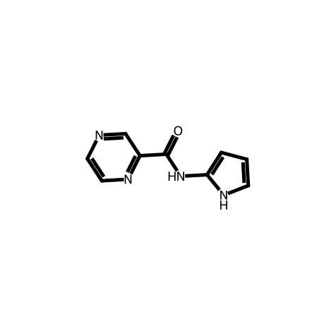 O=C(Nc1ccc[nH]1)c1cnccn1